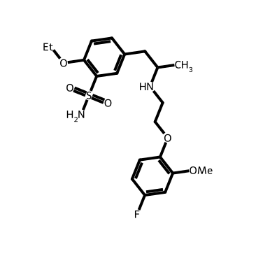 CCOc1ccc(CC(C)NCCOc2ccc(F)cc2OC)cc1S(N)(=O)=O